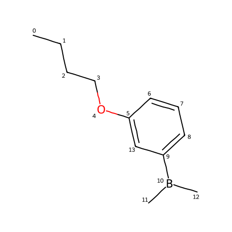 CCCCOc1cccc(B(C)C)c1